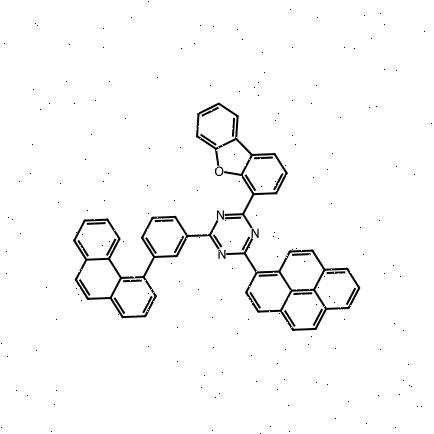 c1cc(-c2nc(-c3ccc4ccc5cccc6ccc3c4c56)nc(-c3cccc4c3oc3ccccc34)n2)cc(-c2cccc3ccc4ccccc4c23)c1